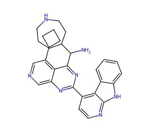 NC(c1nc(-c2ccnc3[nH]c4ccccc4c23)nc2cncc(C3CCC3)c12)C1CCCNCC1